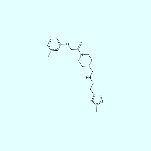 Cc1cccc(OCC(=O)N2CCC(CNCCc3csc(C)n3)CC2)c1